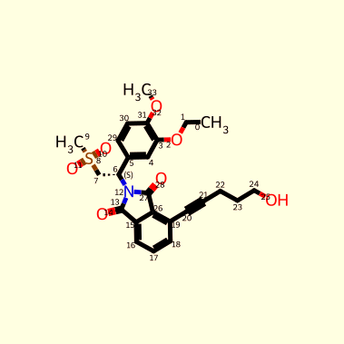 CCOc1cc([C@@H](CS(C)(=O)=O)N2C(=O)c3cccc(C#CCCCO)c3C2=O)ccc1OC